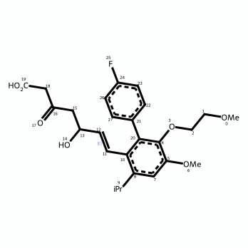 COCCOc1c(OC)cc(C(C)C)c(/C=C/C(O)CC(=O)CC(=O)O)c1-c1ccc(F)cc1